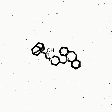 O[C@H](CN1CCC(CN2c3ccccc3CCc3ccccc32)CC1)C12CC3CC(CC(C3)C1)C2